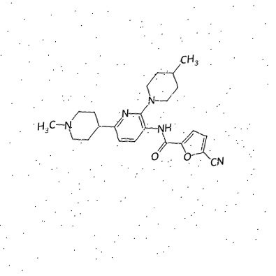 CC1CCN(c2nc(C3CCN(C)CC3)ccc2NC(=O)c2ccc(C#N)o2)CC1